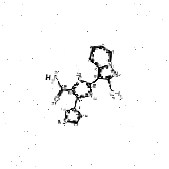 Cc1nn2ccccc2c1-c1nc(-c2ccsc2)c(C(N)=O)s1